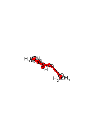 C=C(C)C(=O)OCCCCCCCCCCOc1ccc(CNc2ccc(/N=N/c3ccc(CCC(C)(C)C(C)(C)C)cc3)c3ccccc23)cc1